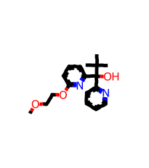 COCCOc1cccc(C(O)(c2ccccn2)C(C)(C)C)n1